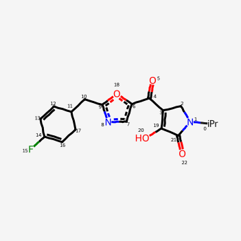 CC(C)N1CC(C(=O)c2cnc(CC3C=CC(F)=CC3)o2)=C(O)C1=O